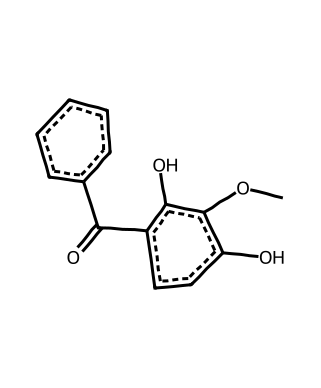 COc1c(O)ccc(C(=O)c2ccccc2)c1O